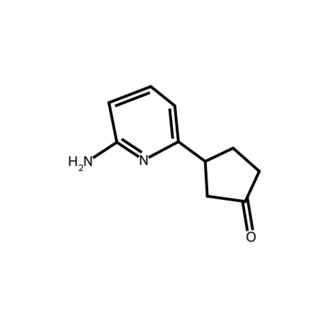 Nc1cccc(C2CCC(=O)C2)n1